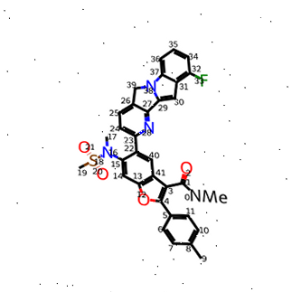 CNC(=O)c1c(-c2ccc(C)cc2)oc2cc(N(C)S(C)(=O)=O)c(-c3ccc4c(n3)-c3cc5c(F)cccc5n3C4)cc12